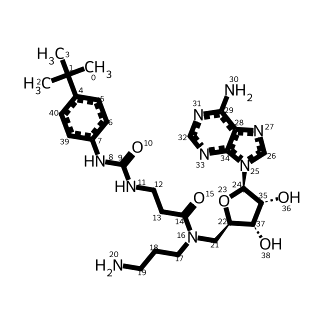 CC(C)(C)c1ccc(NC(=O)NCCC(=O)N(CCCN)C[C@H]2O[C@@H](n3cnc4c(N)ncnc43)[C@H](O)[C@@H]2O)cc1